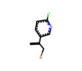 C=C(CBr)c1ccc(Cl)nc1